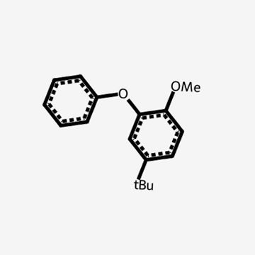 COc1ccc(C(C)(C)C)cc1Oc1ccccc1